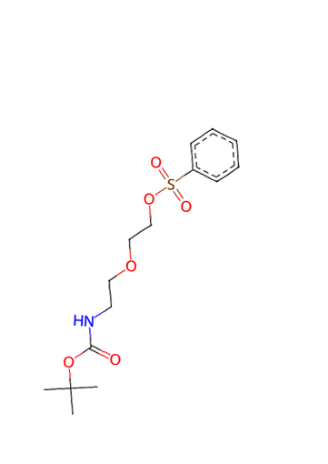 CC(C)(C)OC(=O)NCCOCCOS(=O)(=O)c1ccccc1